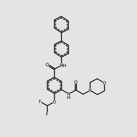 O=C(CN1CCOCC1)Nc1cc(C(=O)Nc2ccc(-c3ccccc3)cc2)ccc1OC(F)F